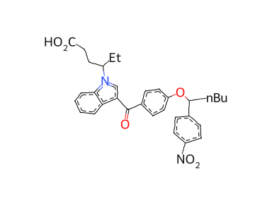 CCCCC(Oc1ccc(C(=O)c2cn(C(CC)CCC(=O)O)c3ccccc23)cc1)c1ccc([N+](=O)[O-])cc1